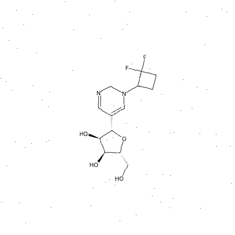 OC[C@H]1O[C@@H](C2=CN(C3CCC3(F)F)CN=C2)[C@H](O)[C@@H]1O